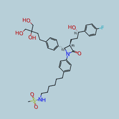 CS(=O)(=O)NCCCCCCc1ccc(N2C(=O)[C@H](CC[C@H](O)c3ccc(F)cc3)[C@H]2c2ccc(CCC(O)(CO)CO)cc2)cc1